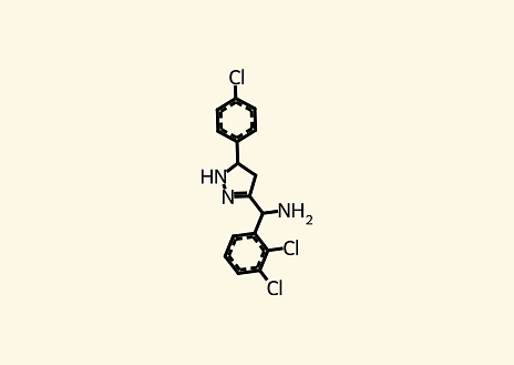 NC(C1=NNC(c2ccc(Cl)cc2)C1)c1cccc(Cl)c1Cl